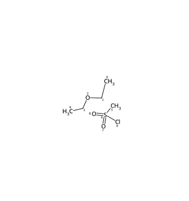 CCOCC.CS(=O)(=O)Cl